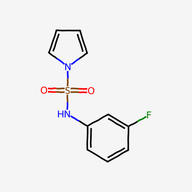 O=S(=O)(Nc1cccc(F)c1)n1cccc1